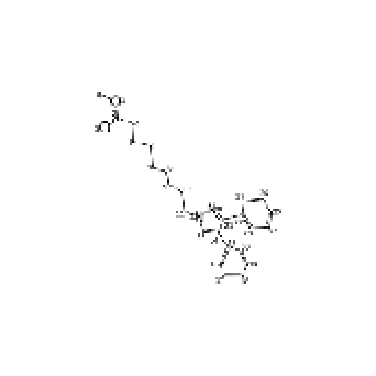 COC(=O)CCCCCCCCn1cc(-c2ccccc2)c(-c2ccccc2)n1